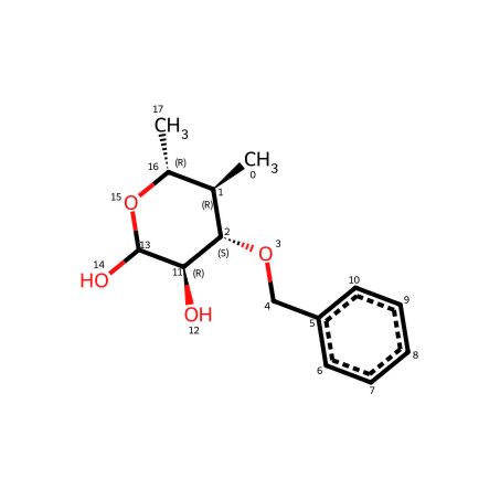 C[C@H]1[C@H](OCc2ccccc2)[C@@H](O)C(O)O[C@@H]1C